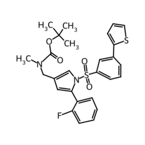 CN(Cc1cc(-c2ccccc2F)n(S(=O)(=O)c2cccc(-c3cccs3)c2)c1)C(=O)OC(C)(C)C